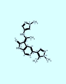 C/C(Nc1cnn(C)c1)=C1/C(=O)Nc2cnc(-c3cnn(C)c3C)cc21